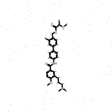 COc1ccc(C(=O)Nc2ccc(-c3ccc(COC(=O)C(C)OC)c(C)c3)cc2)cc1CCCN(C)C